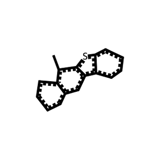 Cc1c2ccccc2cc2c1sc1ccccc12